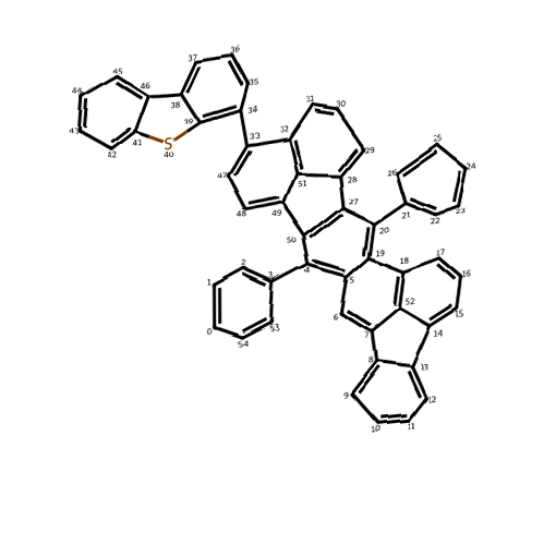 c1ccc(-c2c3cc4c5ccccc5c5cccc(c3c(-c3ccccc3)c3c6cccc7c(-c8cccc9c8sc8ccccc89)ccc(c23)c76)c54)cc1